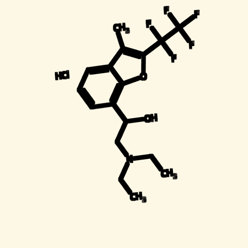 CCN(CC)CC(O)c1cccc2c(C)c(C(F)(F)C(F)(F)F)oc12.Cl